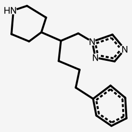 c1ccc(CCCC(Cn2cncn2)C2CCNCC2)cc1